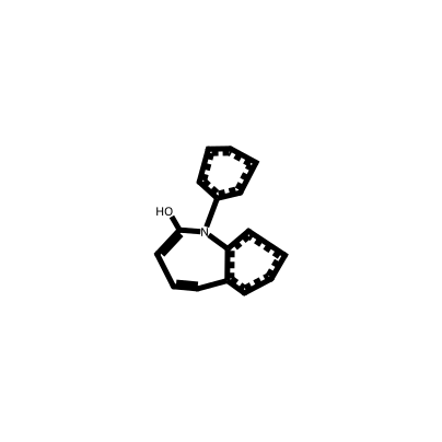 OC1=CC=Cc2ccccc2N1c1ccccc1